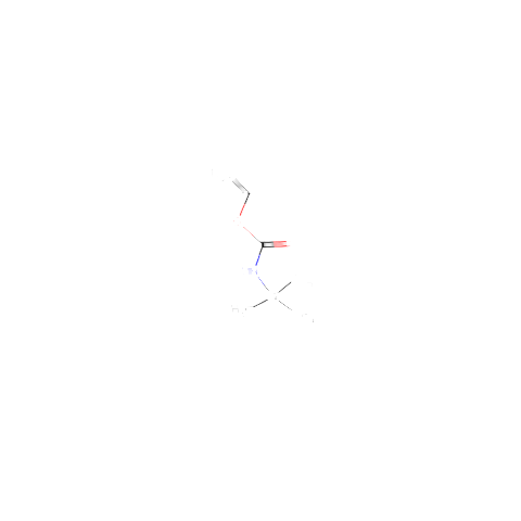 C=COC(=O)N[Si](C)(C)C